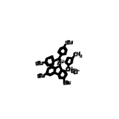 CC1=CC(C)[C]([Zr+2](=[C](c2ccc(C(C)(C)C)cc2)c2ccc(C(C)(C)C)cc2)[CH]2c3ccc(C(C)(C)C)cc3-c3cc(C(C)(C)C)ccc32)=C1.[Cl-].[Cl-]